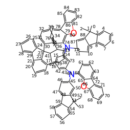 CC1(C)c2ccccc2-c2ccc(N(c3cc(-c4cccc5c4C4(c6ccccc6-5)c5ccccc5C5C=CC=CC54)cc(N(c4ccc5c(c4)C(C)(C)c4ccccc4-5)c4cccc5c4oc4ccccc45)c3)c3cccc4c3oc3ccccc34)cc21